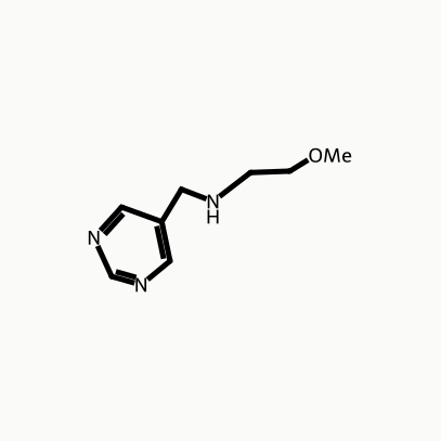 COCCNCc1cncnc1